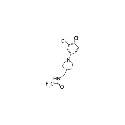 O=C(NCC1CCN(c2ccc(Cl)c(Cl)c2)CC1)C(F)(F)F